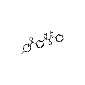 CC1CCN(C(=O)c2cccc(NC(=O)Nc3ccccc3)c2)CC1